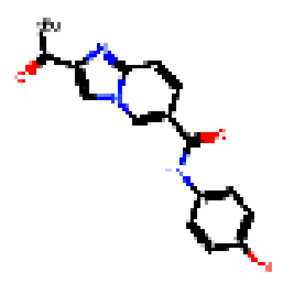 CC(C)(C)C(=O)c1cn2cc(C(=O)Nc3ccc(O)cc3)ccc2n1